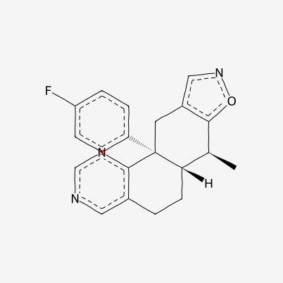 C[C@@H]1c2oncc2C[C@]2(c3ccc(F)cc3)c3ncncc3CC[C@@H]12